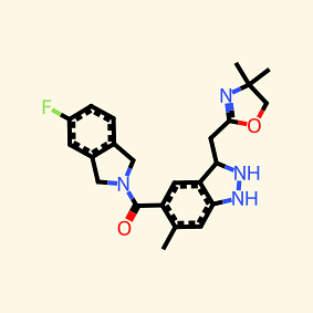 Cc1cc2c(cc1C(=O)N1Cc3ccc(F)cc3C1)C(CC1=NC(C)(C)CO1)NN2